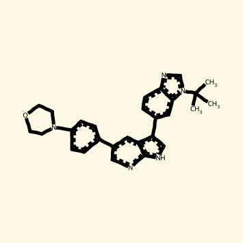 CC(C)(C)n1cnc2ccc(-c3c[nH]c4ncc(-c5ccc(N6CCOCC6)cc5)cc34)cc21